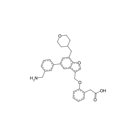 NCc1cccc(-c2cc(CC3CCOCC3)c3occ(COc4ccccc4CC(=O)O)c3c2)c1